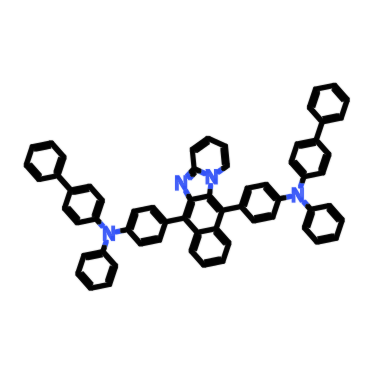 c1ccc(-c2ccc(N(c3ccccc3)c3ccc(-c4c5ccccc5c(-c5ccc(N(c6ccccc6)c6ccc(-c7ccccc7)cc6)cc5)c5c4nc4ccccn45)cc3)cc2)cc1